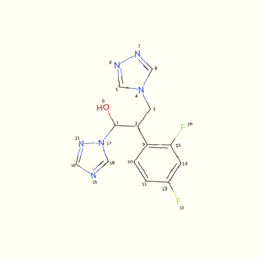 OC(C(Cn1cnnc1)c1ccc(F)cc1F)n1cncn1